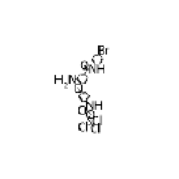 Nc1cc(C(=O)Nc2ccc(Br)cc2)ccc1Oc1ccc(NC(=O)OCC(Cl)(Cl)Cl)cc1